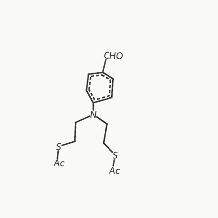 CC(=O)SCCN(CCSC(C)=O)c1ccc(C=O)cc1